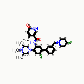 CC1CN(c2cc(F)c(-c3cccc(CN4CCC(F)CC4)c3)cc2NC(=O)c2c[nH]c(=O)cc2C(F)(F)F)CC(C)N1C